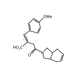 COc1ccc(/C=C(\CC(=O)N2CC3CC=CCC3C2)C(=O)O)cc1